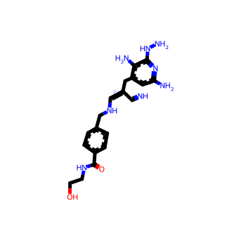 N=C/C(=C\NCc1ccc(C(=O)NCCO)cc1)Cc1cc(N)nc(NN)c1N